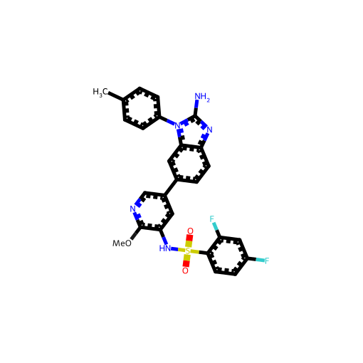 COc1ncc(-c2ccc3nc(N)n(-c4ccc(C)cc4)c3c2)cc1NS(=O)(=O)c1ccc(F)cc1F